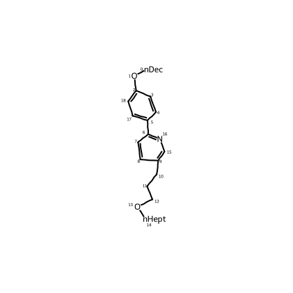 CCCCCCCCCCOc1ccc(-c2ccc(CCCOCCCCCCC)cn2)cc1